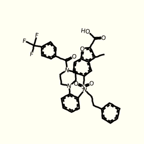 Cc1c(C(=O)O)oc2ccc(S(=O)(=O)N(CCc3ccccc3)c3ccccc3N3CCN(C(=O)c4ccc(C(F)(F)F)cc4)CC3)cc12